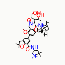 COc1c(CN2O[C@@H](CO)C([C@H](C)O)[C@H]2C(=O)N[C@H]2C[C@H]3C[C@@H]([C@@H]2C)C3(C)C)cccc1-c1cc2c(c(C(=O)N[C@H](CN(C)C)CC(C)(C)C)c1)OC(C)(C)C2